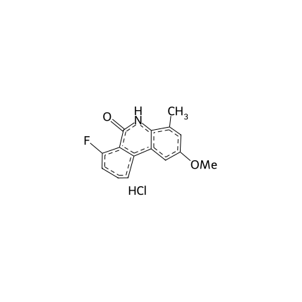 COc1cc(C)c2[nH]c(=O)c3c(F)cccc3c2c1.Cl